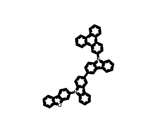 c1ccc2c(c1)oc1cc(-n3c4ccccc4c4cc(-c5ccc6c(c5)c5ccccc5n6-c5ccc6c7ccccc7c7ccccc7c6c5)ccc43)ccc12